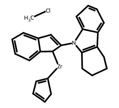 C1=CC[C]([Zr][CH]2C(n3c4c(c5ccccc53)CCCC4)=Cc3ccccc32)=C1.CCl